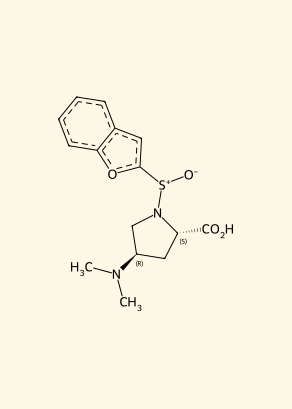 CN(C)[C@@H]1C[C@@H](C(=O)O)N([S+]([O-])c2cc3ccccc3o2)C1